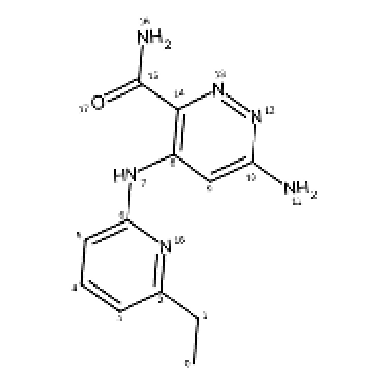 CCc1cccc(Nc2cc(N)nnc2C(N)=O)n1